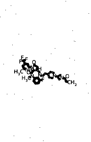 C=CC(=O)N1CC(N2CCC(CCN3C[C@H]4CC(=O)N(c5cc(C(F)(F)F)cc(C)n5)[C@@H]4C(=O)N(C)c4cccc(F)c43)CC2)C1